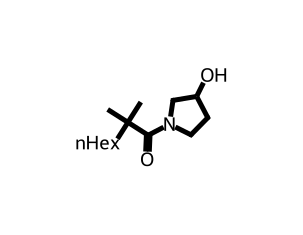 CCCCCCC(C)(C)C(=O)N1CCC(O)C1